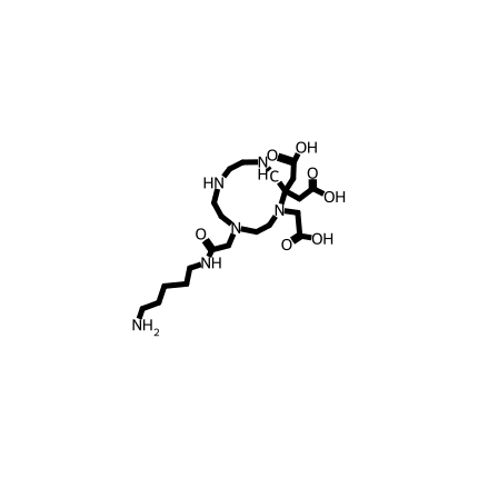 NCCCCCNC(=O)CN1CCNCCNCC(CC(=O)O)(CC(=O)O)N(CC(=O)O)CC1